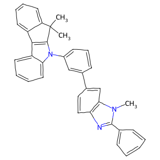 Cn1c(-c2ccccc2)nc2ccc(-c3cccc(-n4c5c(c6ccccc64)-c4ccccc4C5(C)C)c3)cc21